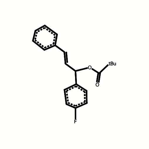 CC(C)(C)C(=O)OC(/C=C/c1ccccc1)c1ccc(F)cc1